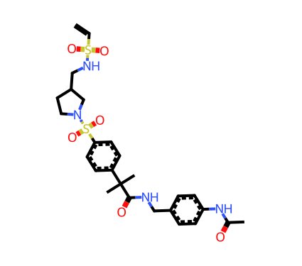 C=CS(=O)(=O)NCC1CCN(S(=O)(=O)c2ccc(C(C)(C)C(=O)NCc3ccc(NC(C)=O)cc3)cc2)C1